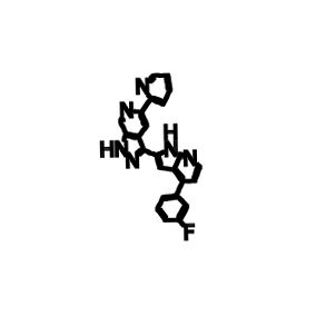 Fc1cccc(-c2ccnc3[nH]c(-c4n[nH]c5cnc(-c6ccccn6)cc45)cc23)c1